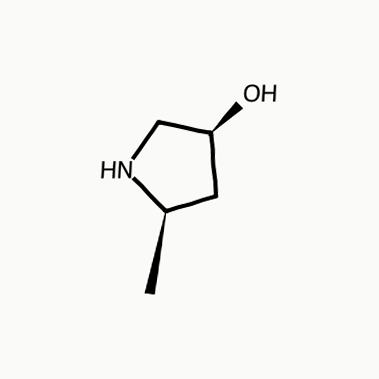 C[C@@H]1C[C@H](O)CN1